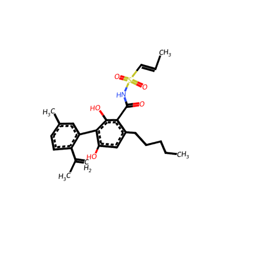 C=C(C)c1ccc(C)cc1-c1c(O)cc(CCCCC)c(C(=O)NS(=O)(=O)C=CC)c1O